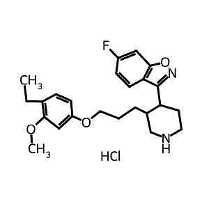 CCc1ccc(OCCCC2CNCCC2c2noc3cc(F)ccc23)cc1OC.Cl